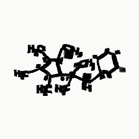 CC1=C(C)C(C)C([Si](C)(C)Pc2ccccc2)=C1C